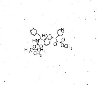 COC(=O)C(=O)C(c1ccncc1)c1c[nH]c2c(C(Cc3ccccc3)NC(=O)OC(C)(C)C)cccc12